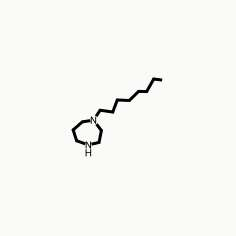 CCCCCCCCN1CCCNCC1